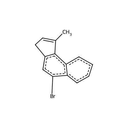 CC1=CCc2cc(Br)c3ccccc3c21